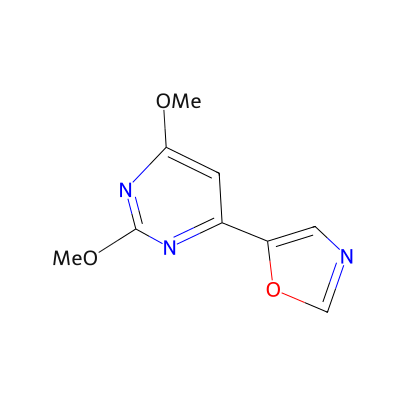 COc1cc(-c2cnco2)nc(OC)n1